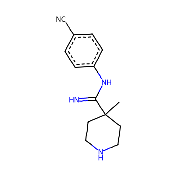 CC1(C(=N)Nc2ccc(C#N)cc2)CCNCC1